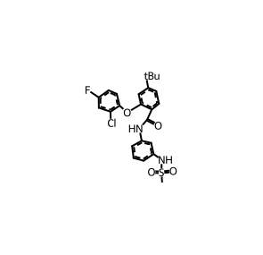 CC(C)(C)c1ccc(C(=O)Nc2cccc(NS(C)(=O)=O)c2)c(Oc2ccc(F)cc2Cl)c1